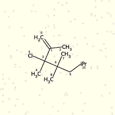 C=C(C)C(C)(Cl)C(C)(C)CC(C)C